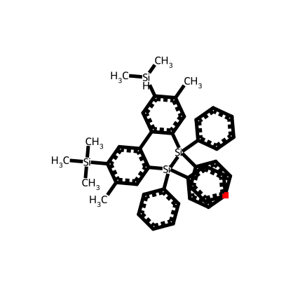 Cc1cc2c(cc1[SiH](C)C)-c1cc([Si](C)(C)C)c(C)cc1[Si](c1ccccc1)(c1ccccc1)[Si]2(c1ccccc1)c1ccccc1